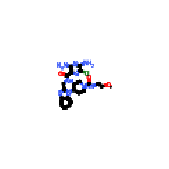 COCCNC(=O)N1CCC(n2c(CNC(=O)c3nc(Cl)c(N)nc3N)nc3ccccc32)CC1